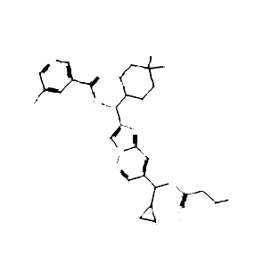 Cc1cncc(C(=O)N[C@H](c2cn3ncc(C(NC(=O)CCC(F)(F)F)C4CC4)cc3n2)C2CCC(F)(F)CC2)c1